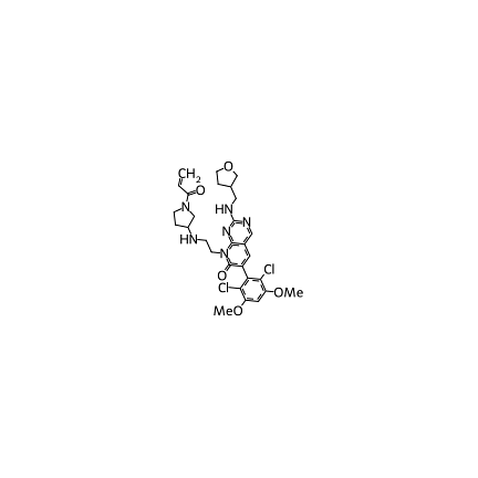 C=CC(=O)N1CCC(NCCn2c(=O)c(-c3c(Cl)c(OC)cc(OC)c3Cl)cc3cnc(NCC4CCOC4)nc32)C1